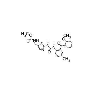 COC(=O)NCc1cnc(NC(=O)Nc2ccc(C)cc2C(=O)c2ccccc2OC)s1